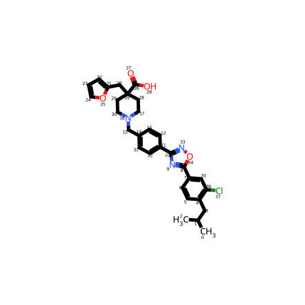 CC(C)Cc1ccc(-c2nc(-c3ccc(CN4CCC(Cc5ccco5)(C(=O)O)CC4)cc3)no2)cc1Cl